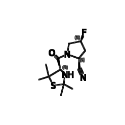 CC1(C)N[C@H](C(=O)N2C[C@@H](F)C[C@H]2C#N)C(C)(C)S1